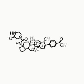 CC1C(c2ccc(C(=O)O)cc2)=CCC2(C)C1CCC1(C)C2CCC2C3CCCC3(NC(=O)N3CCNC(=O)C3)CC[C@]21C